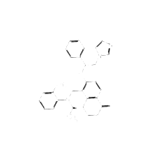 CC(=O)N(Cc1c(O[C@H](Cn2ccnc2)c2ccccc2)ccc2c1CCCC2=O)c1ccccc1C